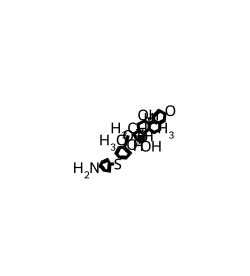 C[C@@]1(c2ccc(Sc3ccc(N)cc3)cc2)O[C@@H]2C[C@H]3[C@@H]4CCC5=CC(=O)C=C[C@]5(C)[C@H]4[C@@H](O)C[C@]3(C)[C@]2(C(=O)CO)O1